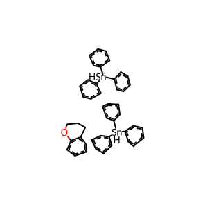 c1cc[c]([SnH]([c]2ccccc2)[c]2ccccc2)cc1.c1cc[c]([SnH]([c]2ccccc2)[c]2ccccc2)cc1.c1ccc2c(c1)CCCO2